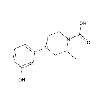 CC1CN(c2cccc(O)n2)CCN1C(=O)O